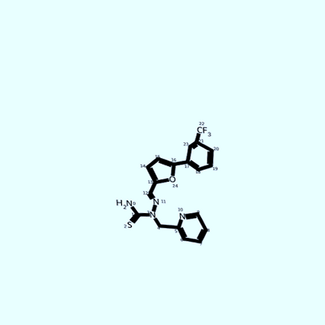 NC(=S)N(Cc1ccccn1)N=Cc1ccc(-c2cccc(C(F)(F)F)c2)o1